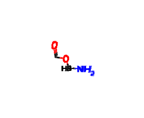 NBOC=O